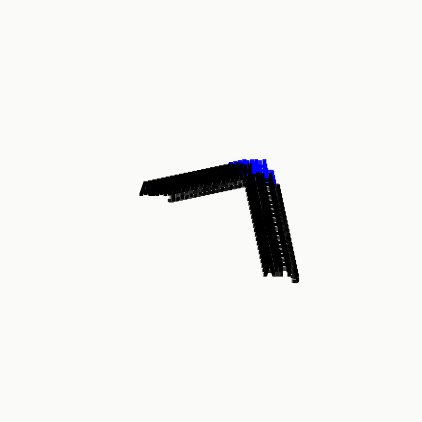 N.N.N.N.N.N.[AlH3].[AlH3].[AlH3].[AlH3].[AlH3].[AlH3].[AlH3].[AlH3].[AlH3].[AlH3].[AlH3].[AlH3].[AlH3].[AlH3].[AlH3].[AlH3].[AlH3].[AlH3].[AlH3].[AlH3].[AlH3].[AlH3].[AlH3].[AlH3].[AlH3].[AlH3].[AlH3].[AlH3].[AlH3].[AlH3].[AlH3].[AlH3].[AlH3].[AlH3].[AlH3].[AlH3].[AlH3].[AlH3].[AlH3].[AlH3].[AlH3]